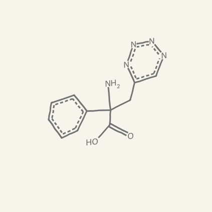 NC(Cc1cnnnn1)(C(=O)O)c1ccccc1